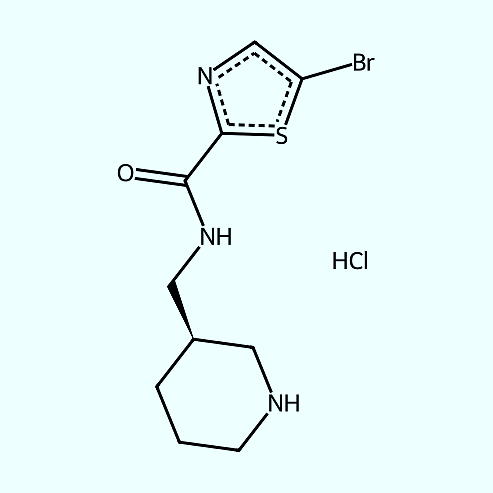 Cl.O=C(NC[C@@H]1CCCNC1)c1ncc(Br)s1